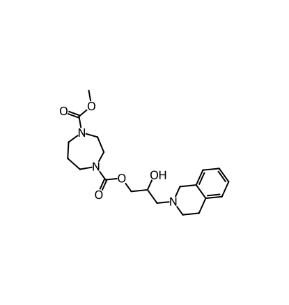 COC(=O)N1CCCN(C(=O)OCC(O)CN2CCc3ccccc3C2)CC1